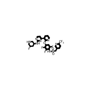 O=S(=O)(Cc1ccc(C(F)(F)F)nc1)Nc1c(F)cc(Oc2ncccc2-c2ccnc(NC3CNC[C@@H](F)C3)n2)c(F)c1F